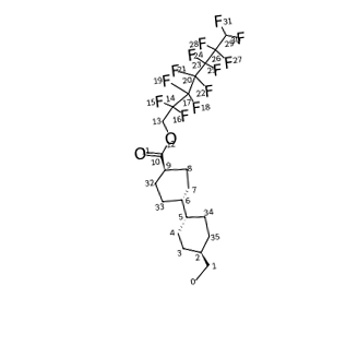 CC[C@H]1CC[C@H]([C@H]2CC[C@H](C(=O)OCC(F)(F)C(F)(F)C(F)(F)C(F)(F)C(F)(F)C(F)F)CC2)CC1